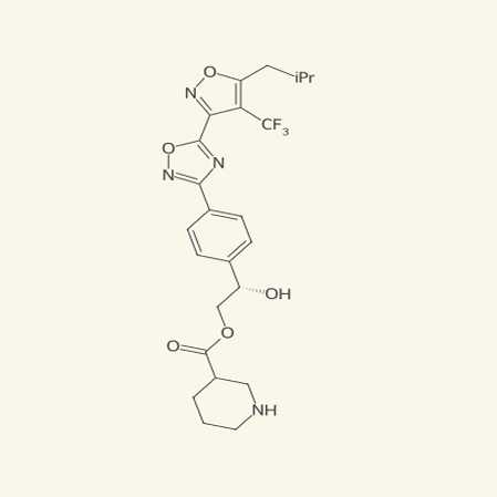 CC(C)Cc1onc(-c2nc(-c3ccc([C@H](O)COC(=O)C4CCCNC4)cc3)no2)c1C(F)(F)F